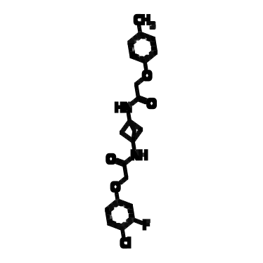 Cc1ccc(OCC(=O)NC23CC(NC(=O)COc4ccc(Cl)c(F)c4)(C2)C3)cc1